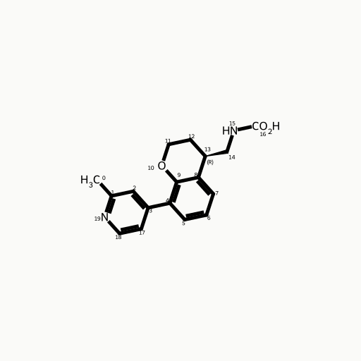 Cc1cc(-c2cccc3c2OCC[C@H]3CNC(=O)O)ccn1